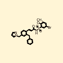 COc1ccc(Br)cc1S(=O)(=O)NC(=O)C=Cc1ccc(Cn2cccn2)cc1Cc1ccccc1